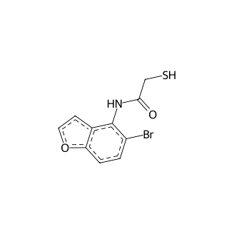 O=C(CS)Nc1c(Br)ccc2occc12